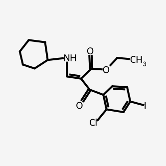 CCOC(=O)C(=CNC1CCCCC1)C(=O)c1ccc(I)cc1Cl